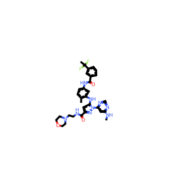 CNc1cc(-n2nc(C(=O)NCCN3CCOCC3)cc2Nc2cc(NC(=O)c3cccc(C(C)(F)F)c3)ccc2C)ncn1